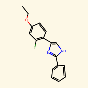 CCOc1ccc(-c2c[nH]c(-c3ccccc3)n2)c(F)c1